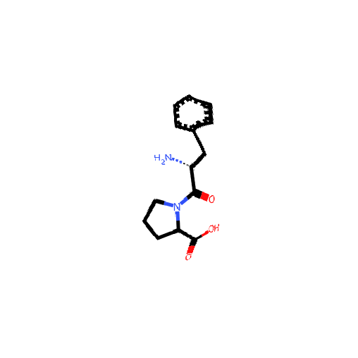 N[C@H](Cc1ccccc1)C(=O)N1CCCC1C(=O)O